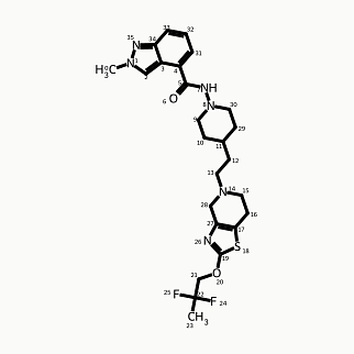 Cn1cc2c(C(=O)NN3CCC(CCN4CCc5sc(OCC(C)(F)F)nc5C4)CC3)cccc2n1